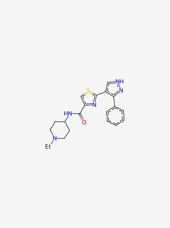 CCN1CCC(NC(=O)c2csc(-c3c[nH]nc3-c3ccccc3)n2)CC1